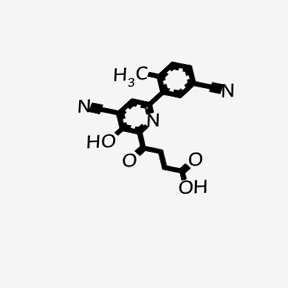 Cc1ccc(C#N)cc1-c1cc(C#N)c(O)c(C(=O)CCC(=O)O)n1